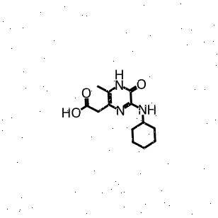 Cc1[nH]c(=O)c(NC2CCCCC2)nc1CC(=O)O